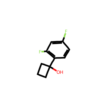 OC1(c2ccc(F)cc2F)CCC1